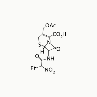 CCC(C(=O)NC1C(=O)N2C(C(=O)O)=C(COC(C)=O)CS[C@@H]12)[N+](=O)[O-]